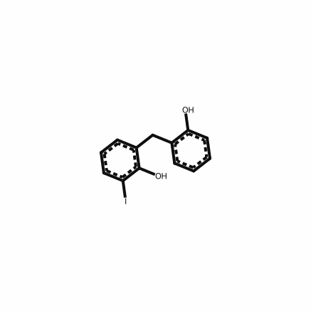 Oc1ccccc1Cc1cccc(I)c1O